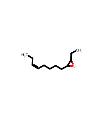 CC/C=C\CCCCC1OC1CC